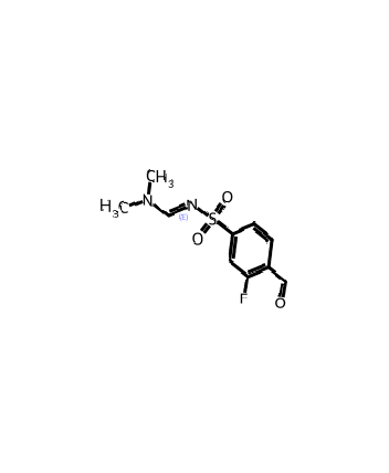 CN(C)/C=N/S(=O)(=O)c1ccc(C=O)c(F)c1